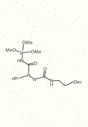 CCCCCCCCCCCCNC(=O)[N]N(CCC)C(=O)N[Si](OC)(OC)OC